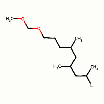 [Li][CH](C)CC(C)CC(C)CCCOCOC